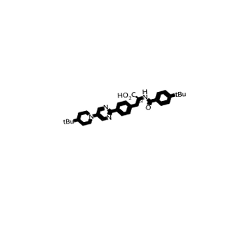 CC(C)(C)c1ccc(C(=O)N[C@@H](Cc2ccc(-c3ncc(N4CCC(C(C)(C)C)CC4)cn3)cc2)C(=O)O)cc1